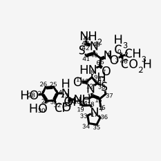 CC(C)(O/N=C(\C(=O)N[C@@H]1C(=O)N2C(C=O)=C(C[N+]3(CCNC(=O)Nc4ccc(O)c(O)c4Cl)CCCC3)CS[C@H]12)c1csc(N)n1)C(=O)O